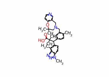 Cc1ccc(C(c2ccc3c(nnn3C)c2C)C(C)(C)C(=O)O)cc1CN1Cc2cnccc2OC(C)(C)C1